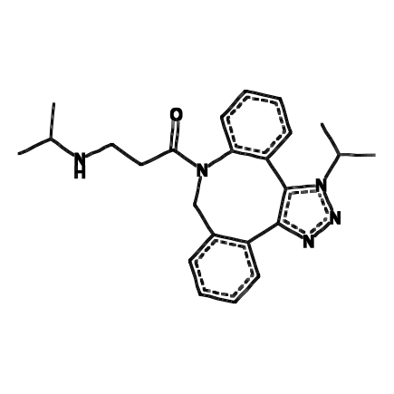 CC(C)NCCC(=O)N1Cc2ccccc2-c2nnn(C(C)C)c2-c2ccccc21